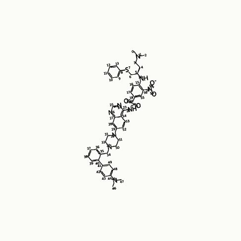 CN(C)CC[C@H](CSc1ccccc1)Nc1ccc(S(=O)(=O)Nc2ncnc3cc(N4CCN(Cc5ccccc5-c5ccc(N(C)C)cc5)CC4)ccc23)cc1[N+](=O)[O-]